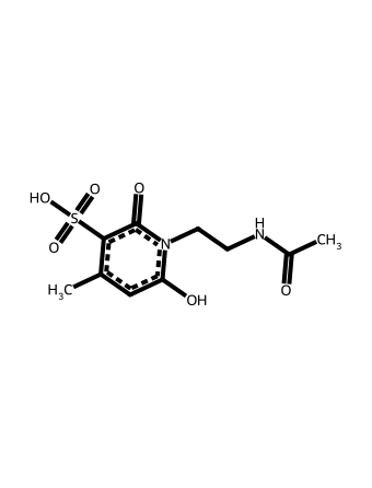 CC(=O)NCCn1c(O)cc(C)c(S(=O)(=O)O)c1=O